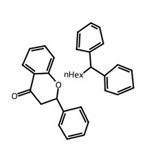 CCCCCCC(c1ccccc1)c1ccccc1.O=C1CC(c2ccccc2)Oc2ccccc21